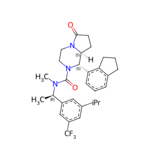 CC(C)c1cc([C@@H](C)N(C)C(=O)N2CCN3C(=O)CC[C@H]3[C@@H]2c2cccc3c2CCC3)cc(C(F)(F)F)c1